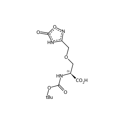 CC(C)(C)OC(=O)N[C@@H](COCc1noc(=O)[nH]1)C(=O)O